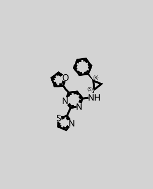 c1ccc([C@H]2C[C@@H]2Nc2cc(-c3ccco3)nc(-c3nccs3)n2)cc1